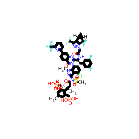 Cc1cc(CP(=O)(O)O)c(C(C)(C)CC(=O)N(c2nn(C)c3c(-n4c([C@H](Cc5cc(F)cc(F)c5)NC(=O)Cn5nc(C(F)F)c6c5C(F)(F)[C@@H]5C[C@H]65)nc5cc(-c6cccc(C(F)(F)F)n6)ccc5c4=O)ccc(Cl)c23)S(C)(=O)=O)c(OP(=O)(O)O)c1